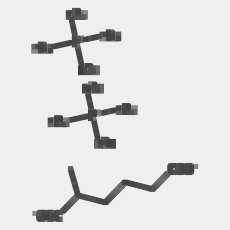 CC(CCCC(=O)[O-])C(=O)[O-].CCCC[P+](CCCC)(CCCC)CCCC.CCCC[P+](CCCC)(CCCC)CCCC